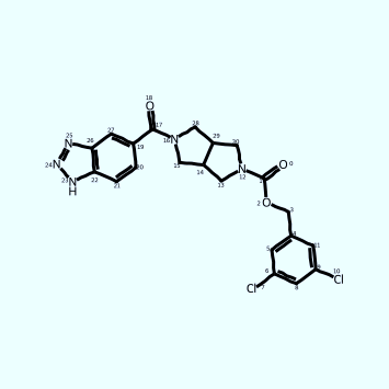 O=C(OCc1cc(Cl)cc(Cl)c1)N1CC2CN(C(=O)c3ccc4[nH]nnc4c3)CC2C1